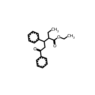 CCOC(=O)C(CC)C(CC(=O)c1ccccc1)c1ccccc1